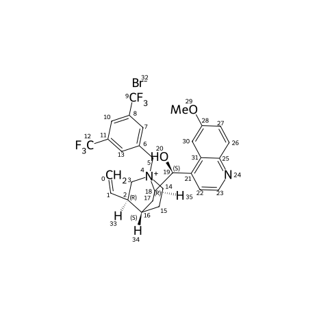 C=C[C@H]1C[N+]2(Cc3cc(C(F)(F)F)cc(C(F)(F)F)c3)CC[C@H]1C[C@@H]2[C@@H](O)c1ccnc2ccc(OC)cc12.[Br-]